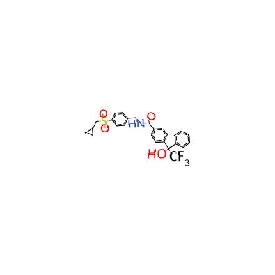 O=C(NCc1ccc(S(=O)(=O)CC2CC2)cc1)c1ccc(C(O)(c2ccccc2)C(F)(F)F)cc1